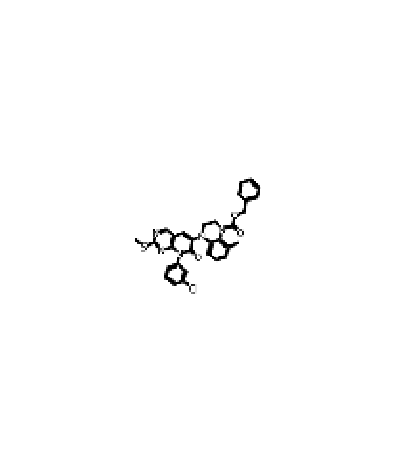 CSc1ncc2cc(N3CCN(C(=O)OCc4ccccc4)c4c(C)cccc43)c(=O)n(-c3cccc(Cl)c3)c2n1